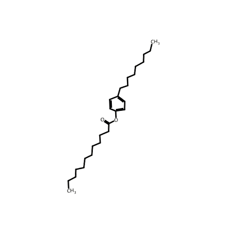 CCCCCCCCCCCC(=O)Oc1ccc(CCCCCCCCC)cc1